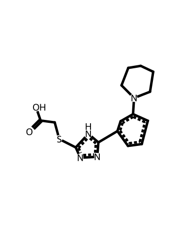 O=C(O)CSc1nnc(-c2cccc(N3CCCCC3)c2)[nH]1